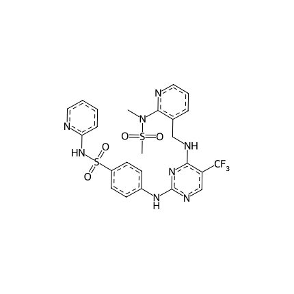 CN(c1ncccc1CNc1nc(Nc2ccc(S(=O)(=O)Nc3ccccn3)cc2)ncc1C(F)(F)F)S(C)(=O)=O